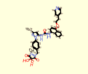 CN1C(=O)C(O)(O)C(=O)N1Cc1ccc(-n2nc(C(C)(C)C)cc2NC(=O)Nc2ccc(OCCc3ccncc3)c3ccccc23)cc1